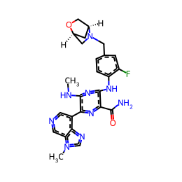 CNc1nc(Nc2ccc(CN3C[C@@H]4C[C@H]3CO4)cc2F)c(C(N)=O)nc1-c1cncc2c1ncn2C